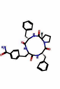 NC(=O)c1ccc(C[C@H]2NC(=O)[C@H](Cc3ccccc3)NC(=O)[C@H]3CCCN3C(=O)[C@H](Cc3ccccc3)NC2=O)cc1